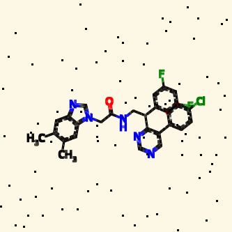 Cc1cc2ncn(CC(=O)NCC(c3cc(F)cc(F)c3)c3ncncc3-c3ccc(Cl)cc3)c2cc1C